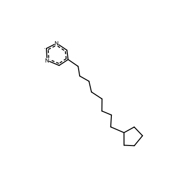 [c]1ncc(CCCCCCCCC2CCCC2)cn1